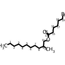 CCCCCCCCCC(C)COC(=O)CCCCCBr